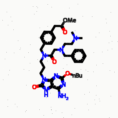 CCCCOc1nc(N)c2[nH]c(=O)n(CCCN(Cc3ccc(CC(=O)OC)cc3)C(=O)CN(CCN(C)C)Cc3ccccc3)c2n1